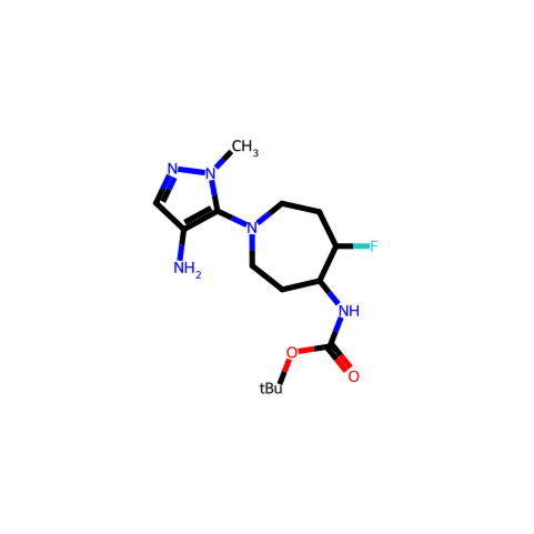 Cn1ncc(N)c1N1CCC(F)C(NC(=O)OC(C)(C)C)CC1